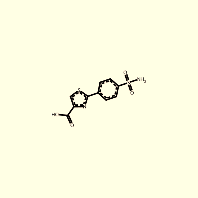 NS(=O)(=O)c1ccc(-c2nc(C(=O)O)cs2)cc1